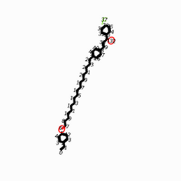 C=Cc1ccc(OCCCCCCCCCCCCCCCCCCc2ccc(/C=C/C(=O)c3ccc(F)cc3)cc2)cc1